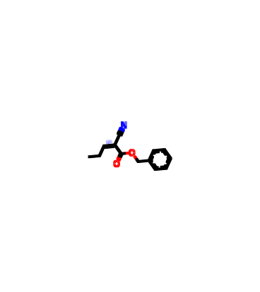 CC/C=C(/C#N)C(=O)OCc1ccccc1